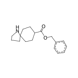 O=C(OCc1ccccc1)C1CCC2(CCCN2)CC1